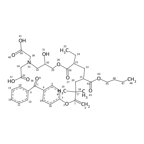 C=C(Oc1ccc(C(=O)c2ccccc2)cc1)C(C)(C)CC(CC(CC)C(=O)OCC(O)CN(CC(=O)O)CC(=O)O)C(=O)OCCCC